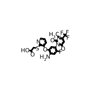 Cn1c(C(F)(F)F)cc(=O)n(-c2cc(Oc3cccnc3SCC(=O)O)c(N)cc2F)c1=O